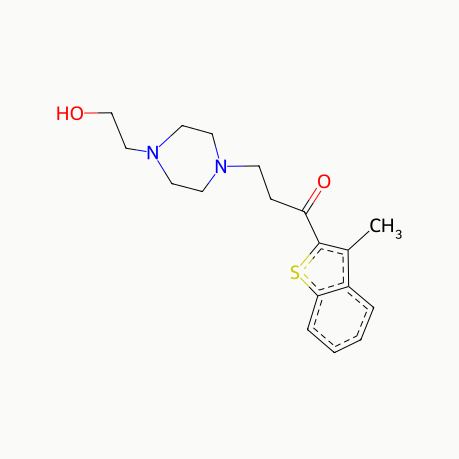 Cc1c(C(=O)CCN2CCN(CCO)CC2)sc2ccccc12